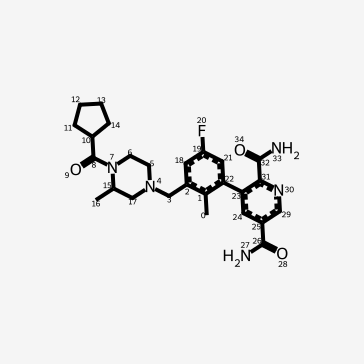 Cc1c(CN2CCN(C(=O)C3CCCC3)C(C)C2)cc(F)cc1-c1cc(C(N)=O)cnc1C(N)=O